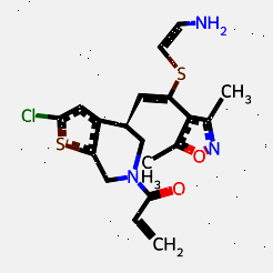 C=CC(=O)N1Cc2sc(Cl)cc2[C@@H](/C=C(/S/C=C\N)c2c(C)noc2C)C1